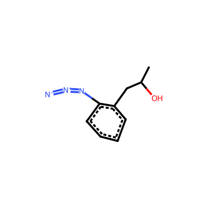 CC(O)Cc1ccccc1N=[N+]=[N-]